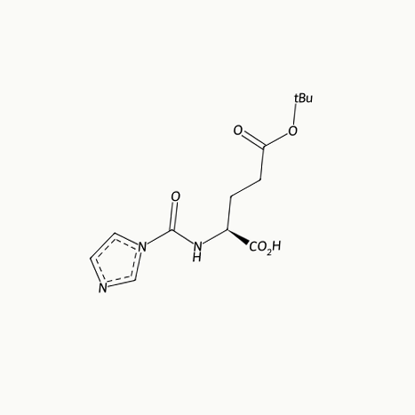 CC(C)(C)OC(=O)CC[C@H](NC(=O)n1ccnc1)C(=O)O